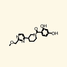 COCc1nccc(C2CCCN(C(=O)c3ccc(O)cc3O)C2)n1